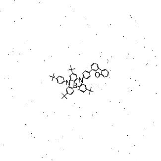 CC(C)(C)c1ccc(N2c3cc(C(C)(C)C)ccc3B3c4ccc(C(C)(C)C)cc4N(c4ccc(-c5cccc6c5oc5ccccc56)cc4)c4cc(C(C)(C)C)cc2c43)cc1